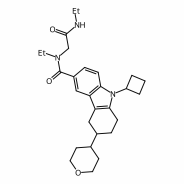 CCNC(=O)CN(CC)C(=O)c1ccc2c(c1)c1c(n2C2CCC2)CCC(C2CCOCC2)C1